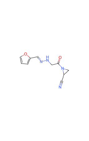 N#CC1CN1C(=O)CNN=Cc1ccco1